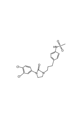 CS(=O)(=O)Nc1ccc(CCCN2CCN(c3ccc(Cl)c(Cl)c3)C2=O)cc1